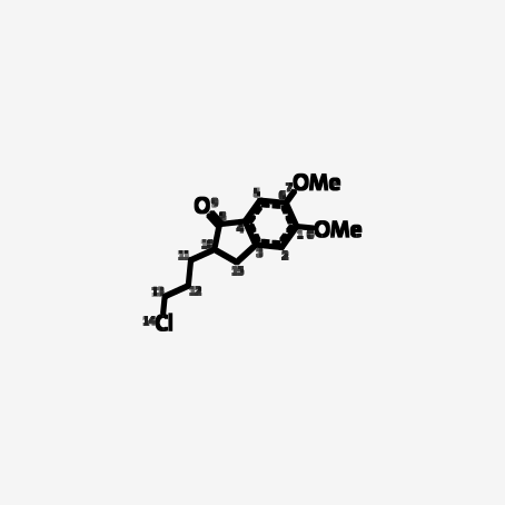 COc1cc2c(cc1OC)C(=O)C(CCCCl)C2